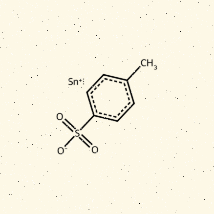 Cc1ccc(S(=O)(=O)[O-])cc1.[Sn+]